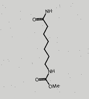 COC(=O)NCCCCCCC([NH])=O